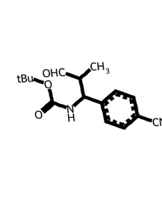 CC(C=O)C(NC(=O)OC(C)(C)C)c1ccc(C#N)cc1